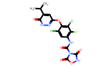 CC(C)c1cc(Oc2c(Cl)cc(NC(=O)n3c(=O)[nH]oc3=O)c(F)c2Cl)n[nH]c1=O